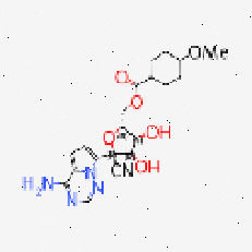 COC1CCC(C(=O)OC[C@H]2O[C@@](C#N)(c3ccc4c(N)ncnn34)[C@H](O)[C@@H]2O)CC1